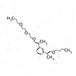 CCCCOC=C(C)c1cccc(C(C)=COCCOCCOCCC)c1